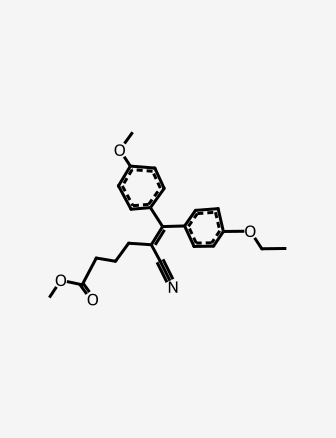 CCOc1ccc(C(=C(C#N)CCCC(=O)OC)c2ccc(OC)cc2)cc1